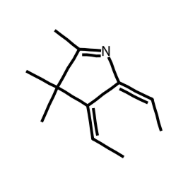 C/C=C1\C(=C/C)N=C(C)C1(C)C